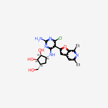 CCc1cc2cc(-c3c(Cl)nc(N)nc3N[C@@H]3C[C@H](CO)[C@@H](O)[C@H]3O)oc2c(CC)n1